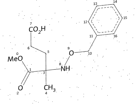 COC(=O)C(C)(CCC(=O)O)NOCc1ccccc1